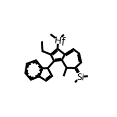 CCC1=[C]([Hf]([CH3])[CH3])C2=CC=CC(=[Si](C)C)C(C)C2=C1C1C=Cc2ccccc21